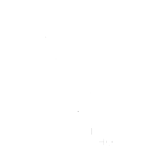 CC(C)(C)Oc1cccc([CH]O)c1C(F)(F)F